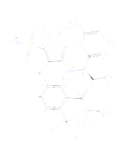 C=C(O/C(C)=C\C)[C@@H](CC)NC1=NS(=O)(=O)C(S(N)(=O)=O)=C1Nc1ccc(C(F)(F)F)c(C(=O)N(C)C)c1O